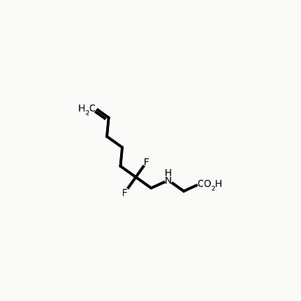 C=CCCCC(F)(F)CNCC(=O)O